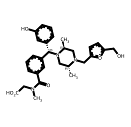 C[C@@H]1CN([C@@H](c2cccc(O)c2)c2cccc(C(=O)N(C)CC(=O)O)c2)[C@@H](C)CN1Cc1ccc(CO)o1